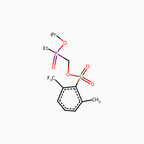 CCP(=O)(COS(=O)(=O)c1c(C)cccc1C(F)(F)F)OC(C)C